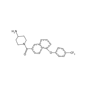 NC1CCN(C(=O)c2ccc3c(Oc4ccc(C(F)(F)F)cc4)cccc3c2)CC1